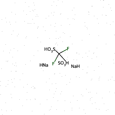 O=S(=O)(O)C(F)(F)S(=O)(=O)O.[NaH].[NaH]